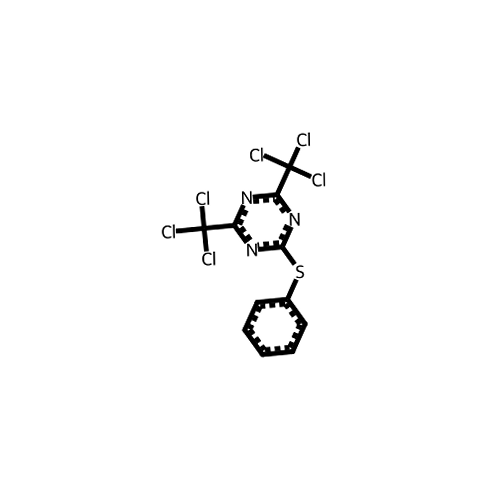 ClC(Cl)(Cl)c1nc(Sc2ccccc2)nc(C(Cl)(Cl)Cl)n1